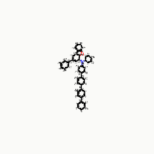 c1ccc(-c2ccc(-c3ccc(-c4ccc(N(c5ccccc5)c5cc(-c6ccccc6)cc6c5oc5ccccc56)cc4)cc3)cc2)cc1